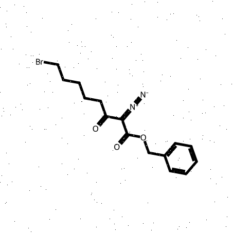 [N-]=[N+]=C(C(=O)CCCCCBr)C(=O)OCc1ccccc1